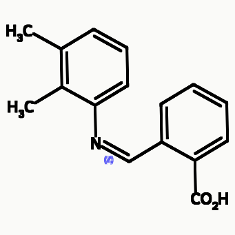 Cc1cccc(/N=C\c2ccccc2C(=O)O)c1C